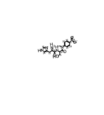 CN(C(=O)C(CO)NC(=O)C(N)Cc1c[nH]cn1)c1ccc([N+](=O)[O-])cc1